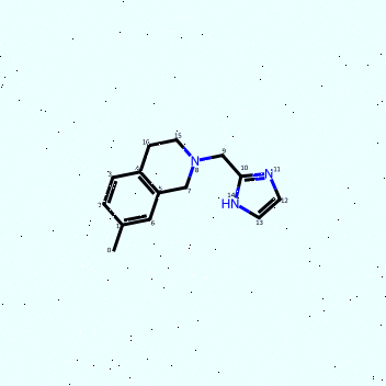 Cc1ccc2c(c1)CN(Cc1ncc[nH]1)CC2